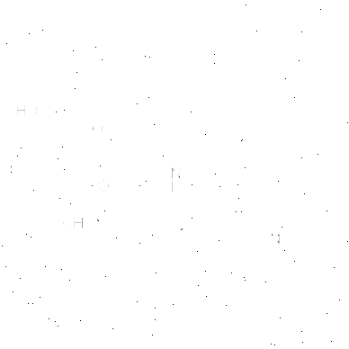 CCOC(CNCc1ccnc2ccccc12)OCC